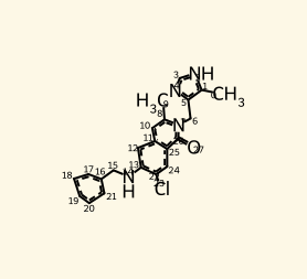 Cc1[nH]cnc1Cn1c(C)cc2cc(NCc3ccccc3)c(Cl)cc2c1=O